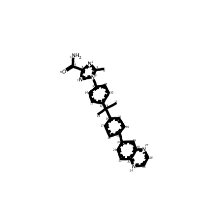 Cc1nc(C(N)=O)nn1-c1ccc(C(C)(C)c2ccc(-c3ccc4nccnc4c3)cc2)cc1